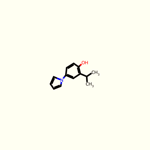 CC(C)c1cc(-n2cccc2)ccc1O